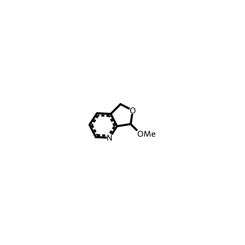 COC1OCc2cccnc21